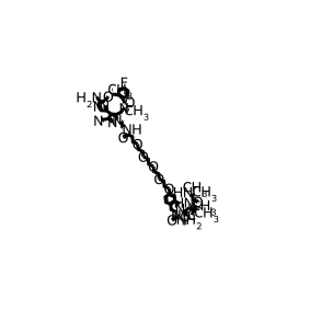 CN[C@H](C)C(=O)N[C@@H](C(=O)N1Cc2cc(OCCOCCOCCOCCOCCC(=O)NCCn3nc(C#N)c4c3CN(C)C(=O)c3ccc(F)cc3[C@@H](C)Oc3nc-4cnc3N)ccc2C[C@@H]1C(N)=O)C(C)(C)C